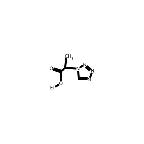 CCOC(=O)C(C)n1cnnn1